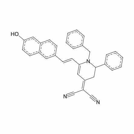 N#CC(C#N)=C1C=C(/C=C/c2ccc3cc(O)ccc3c2)N(Cc2ccccc2)C(c2ccccc2)C1